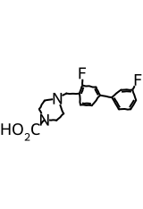 O=C(O)N1CCN(Cc2ccc(-c3cccc(F)c3)cc2F)CC1